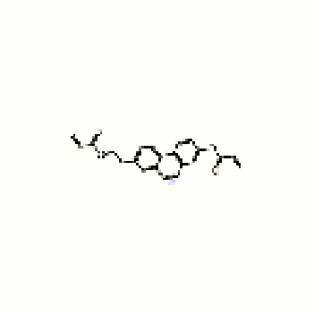 C=CC(=O)OCCc1cccc(/C=C\c2cc(OC(=O)C=C)ccc2C)c1